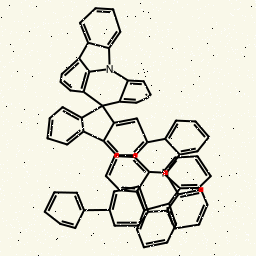 c1ccc(-c2ccc(-c3ccccc3N(c3ccccc3-c3ccc4c(c3)C3(c5ccccc5-4)c4ccccc4-n4c5ccccc5c5cccc3c54)c3ccccc3-c3ccccc3-c3ccccc3)cc2)cc1